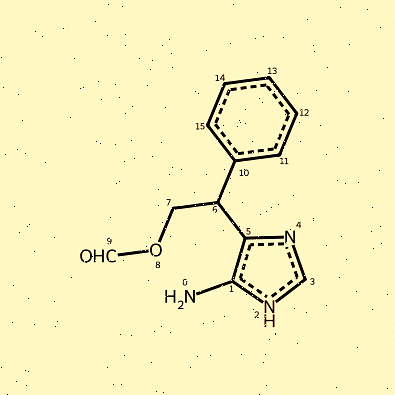 Nc1[nH]cnc1C(COC=O)c1ccccc1